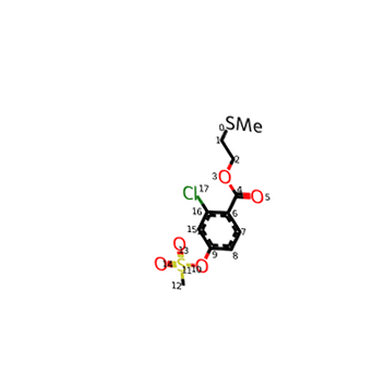 CSCCOC(=O)c1ccc(OS(C)(=O)=O)[c]c1Cl